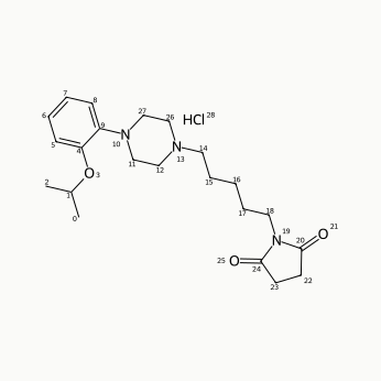 CC(C)Oc1ccccc1N1CCN(CCCCCN2C(=O)CCC2=O)CC1.Cl